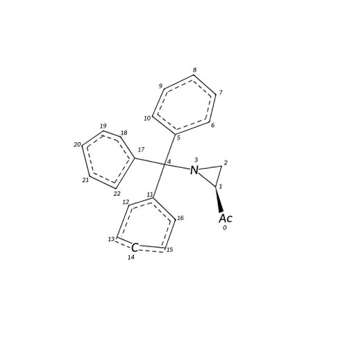 CC(=O)[C@@H]1CN1C(c1ccccc1)(c1ccccc1)c1ccccc1